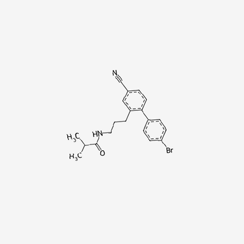 CC(C)C(=O)NCCCc1cc(C#N)ccc1-c1ccc(Br)cc1